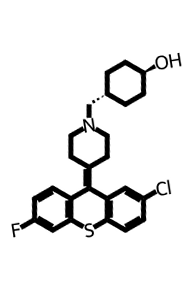 O[C@H]1CC[C@H](CN2CCC(=C3c4ccc(F)cc4Sc4ccc(Cl)cc43)CC2)CC1